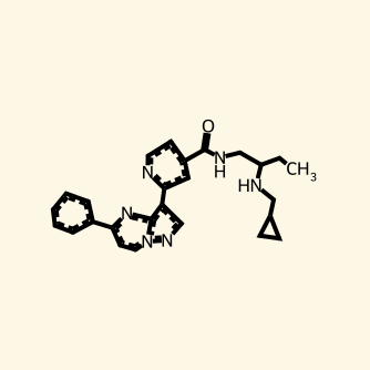 CCC(CNC(=O)c1ccnc(-c2cnn3ccc(-c4ccccc4)nc23)c1)NCC1CC1